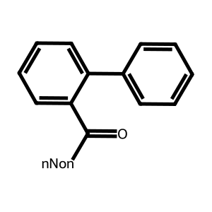 CCCCCCCCCC(=O)c1ccccc1-c1ccccc1